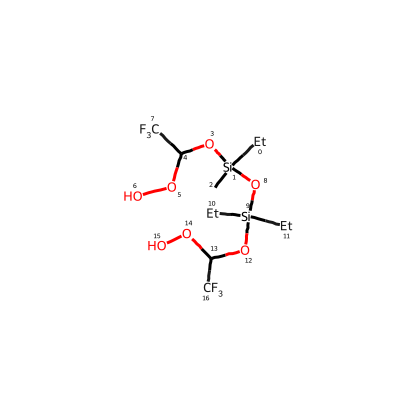 CC[Si](C)(OC(OO)C(F)(F)F)O[Si](CC)(CC)OC(OO)C(F)(F)F